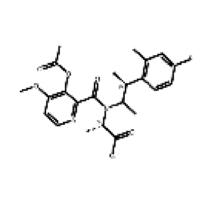 COc1ccnc(C(=O)N(C(C)[C@@H](C)c2ccc(F)cc2C)[C@@H](C)C(=O)O)c1OC(C)=O